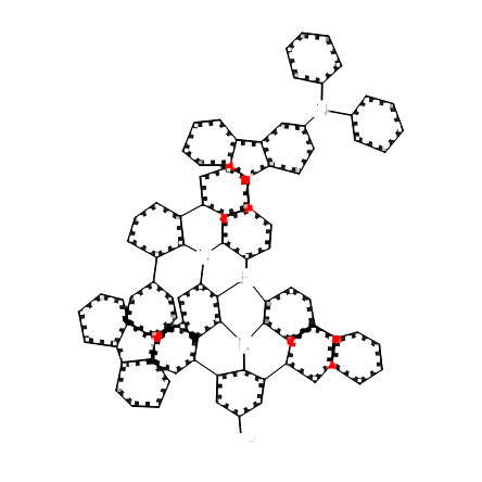 CC(C)(C)c1cc(-c2ccccc2)c(N2c3cc(-c4ccccc4)ccc3B3c4ccc(-n5c6ccccc6c6cc(N(c7ccccc7)c7ccccc7)ccc65)cc4N(c4c(-c5ccccc5)cccc4-c4ccccc4)c4cc(-n5c6ccccc6c6ccccc65)cc2c43)c(-c2ccccc2)c1